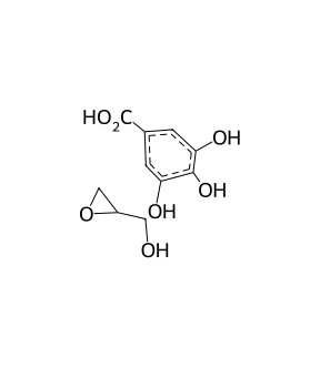 O=C(O)c1cc(O)c(O)c(O)c1.OCC1CO1